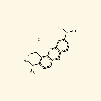 CCc1c(N(C)C)ccc2nc3ccc(N(C)C)cc3[s+]c12.[Cl-]